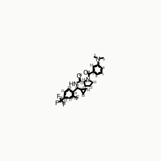 CN(C)c1cccc(C(=O)N2CCC[C@@H]2C(=O)N[C@@H](c2ccc(C(F)(F)F)cc2F)C2CC2)c1